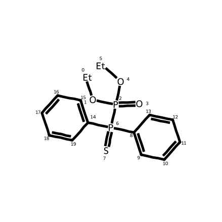 CCOP(=O)(OCC)P(=S)(c1ccccc1)c1ccccc1